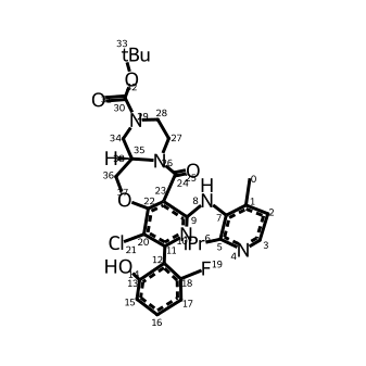 Cc1ccnc(C(C)C)c1Nc1nc(-c2c(O)cccc2F)c(Cl)c2c1C(=O)N1CCN(C(=O)OC(C)(C)C)C[C@H]1CO2